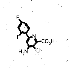 Nc1cc(-c2ccc(F)cc2F)nc(C(=O)O)c1Cl